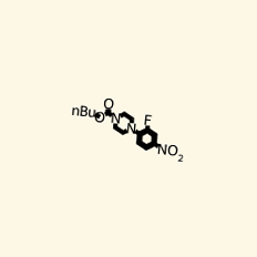 CCCCOC(=O)N1CCN(c2ccc([N+](=O)[O-])cc2F)CC1